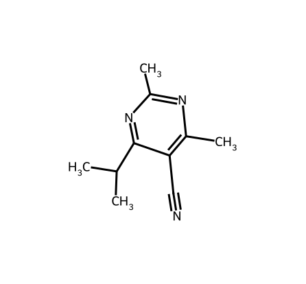 Cc1nc(C)c(C#N)c(C(C)C)n1